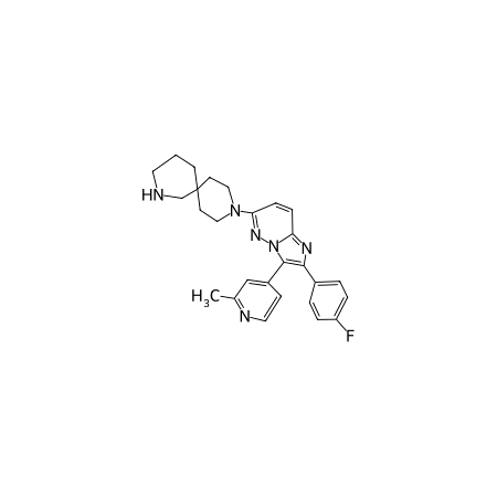 Cc1cc(-c2c(-c3ccc(F)cc3)nc3ccc(N4CCC5(CCCNC5)CC4)nn23)ccn1